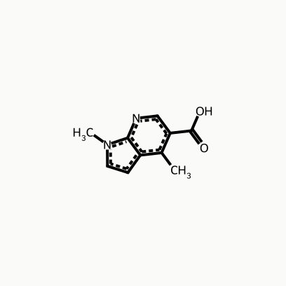 Cc1c(C(=O)O)cnc2c1ccn2C